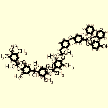 Cc1cc(C(C)(C)Oc2c(C)cc(C(C)(C)c3cc(C)c(OC(C)(C)c4cc(C)c(OC(C)(C)Cc5ccc(Oc6ccc(COc7ccc(O)cc7[PH](O)(c7ccccc7)c7ccccc7)cc6)cc5)c(C)c4)c(C)c3)cc2C)cc(C)c1OC(C)C